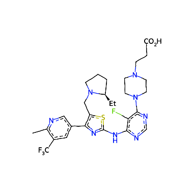 CC[C@@H]1CCCN1Cc1sc(Nc2ncnc(N3CCN(CCC(=O)O)CC3)c2F)nc1-c1cnc(C)c(C(F)(F)F)c1